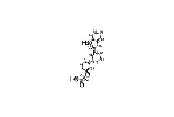 CC(C)(Oc1cccc(C2CCCN(C(=O)Cc3ccccc3O)C2)c1)C(=O)O